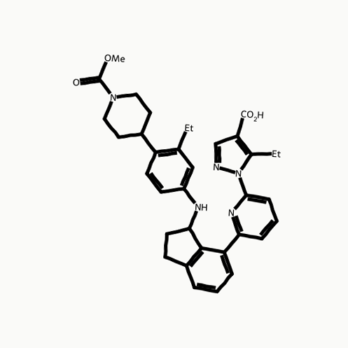 CCc1cc(NC2CCc3cccc(-c4cccc(-n5ncc(C(=O)O)c5CC)n4)c32)ccc1C1CCN(C(=O)OC)CC1